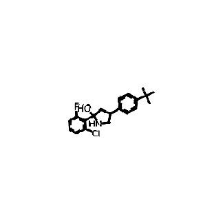 CC(C)(C)c1ccc(C2CNC(O)(c3c(F)cccc3Cl)C2)cc1